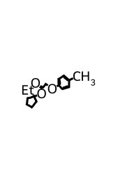 CCC1(OC(=O)COc2ccc(C)cc2)CCCC1